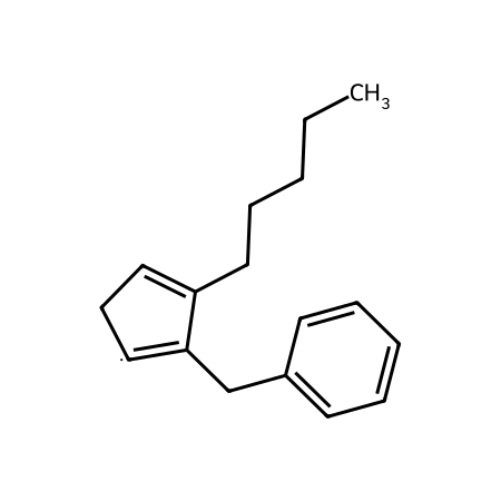 CCCCCC1=CC[C]=C1Cc1ccccc1